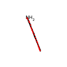 CCCCCCCCCCCCCCCCCCCCCCCCCCCCCCCCCCCCCCCCCCCCCCCCCCN